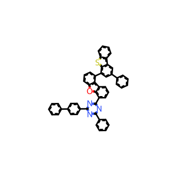 c1ccc(-c2ccc(-c3nc(-c4ccccc4)nc(-c4cccc5c4oc4cccc(-c6cc(-c7ccccc7)cc7c6sc6ccccc67)c45)n3)cc2)cc1